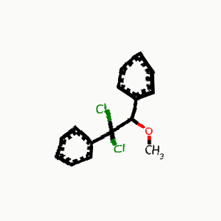 CO[C](c1ccccc1)C(Cl)(Cl)c1ccccc1